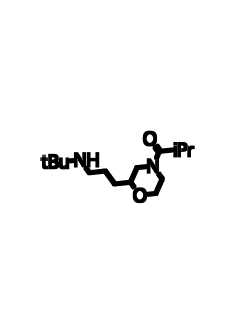 CC(C)C(=O)N1CCOC(CCCNC(C)(C)C)C1